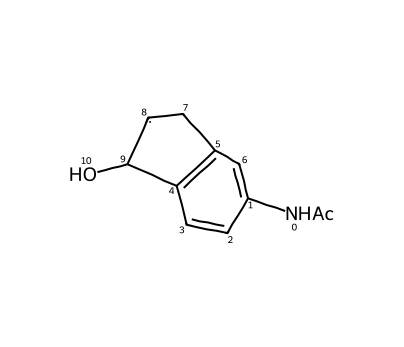 CC(=O)Nc1ccc2c(c1)C[C]C2O